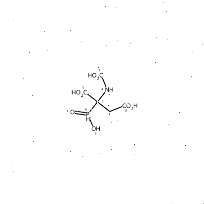 O=C(O)CC(NC(=O)O)(C(=O)O)[PH](=O)O